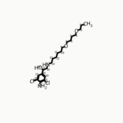 CCCOCCCCOCCCCCCNCC(O)c1cc(Cl)c(N)c(Cl)c1